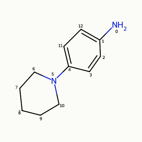 Nc1ccc(N2CC[CH]CC2)cc1